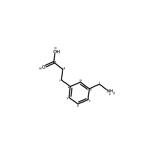 NCc1cccc(CCC(=O)O)c1